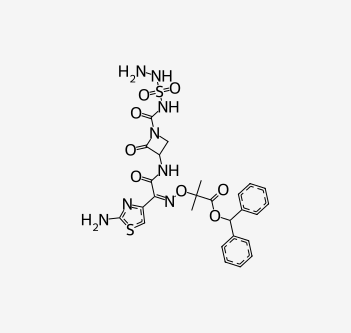 CC(C)(O/N=C(\C(=O)NC1CN(C(=O)NS(=O)(=O)NN)C1=O)c1csc(N)n1)C(=O)OC(c1ccccc1)c1ccccc1